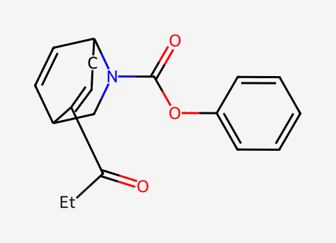 CCC(=O)C1=CCC2C=CC1CN2C(=O)Oc1ccccc1